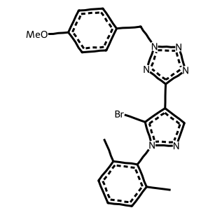 COc1ccc(Cn2nnc(-c3cnn(-c4c(C)cccc4C)c3Br)n2)cc1